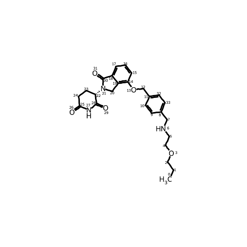 CCCOCCNCc1ccc(COc2cccc3c2CN([C@H]2CCC(=O)NC2=O)C3=O)cc1